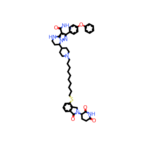 NC(=O)c1c(-c2ccc(Oc3ccccc3)cc2)nn2c1NCCC2C1CCN(CCCCCCCCCCSc2cccc3c2CN(C2CCC(=O)NC2=O)C3=O)CC1